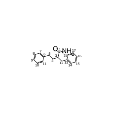 NC(=O)C(CCc1ccccc1)Cc1ccccc1